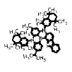 Cc1cc2c3c(c1)N(c1cc4c(cc1C)C(C)(C)CCC4(C)C)c1ccc4c(sc5ccccc54)c1B3c1ccc(C(C)C)cc1N2c1cc2c(cc1C)C(C)(C)CCC2(C)C